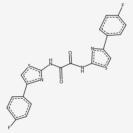 O=C(Nc1nc(-c2ccc(F)cc2)cs1)C(=O)Nc1nc(-c2ccc(F)cc2)cs1